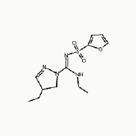 CCN/C(=N\S(=O)(=O)c1ccco1)N1CC(CC)C=N1